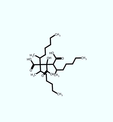 CCCCCC(C)C(C(=O)O)C(O)(C(=O)O)C(C(=O)O)(C(C)CCCCC)C(C)CCCCC